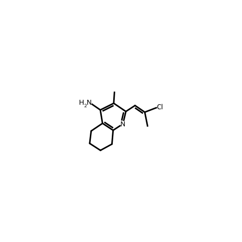 C/C(Cl)=C\c1nc2c(c(N)c1C)CCCC2